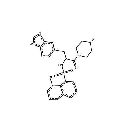 CC1CCN(C(=O)C(Cc2ccc3[nH]cnc3c2)NS(=O)(=O)c2cccc3cccc(O)c23)CC1